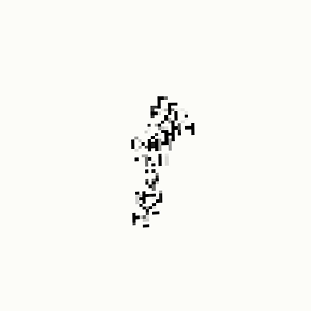 C[C@H](NC1CCN(c2ncc(C(F)(F)F)cn2)CC1)C(=O)N[C@H]1CCc2c1n[nH]c(=O)c2C(F)(F)F